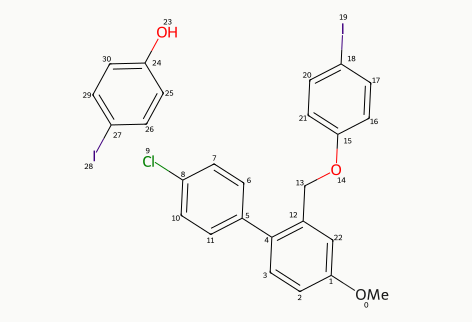 COc1ccc(-c2ccc(Cl)cc2)c(COc2ccc(I)cc2)c1.Oc1ccc(I)cc1